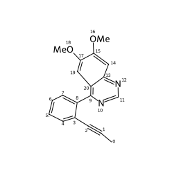 CC#Cc1c[c]ccc1-c1ncnc2cc(OC)c(OC)cc12